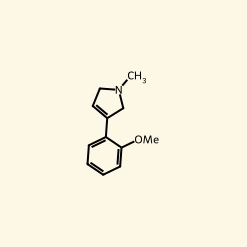 COc1ccccc1C1=CCN(C)C1